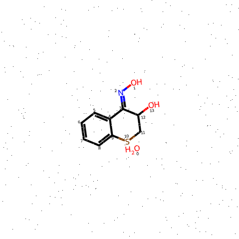 O.ON=C1c2ccccc2SCC1O